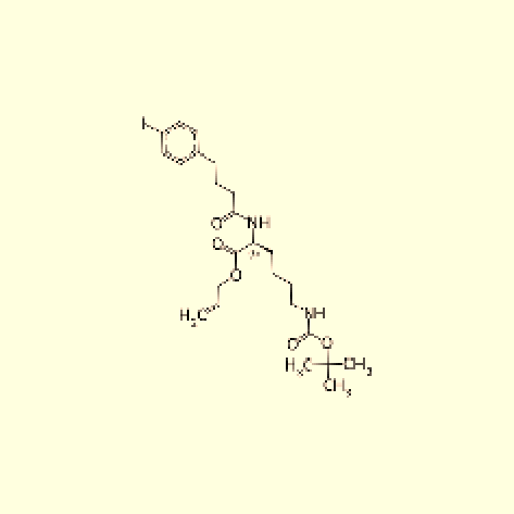 C=CCOC(=O)[C@H](CCCCNC(=O)OC(C)(C)C)NC(=O)CCCc1ccc(I)cc1